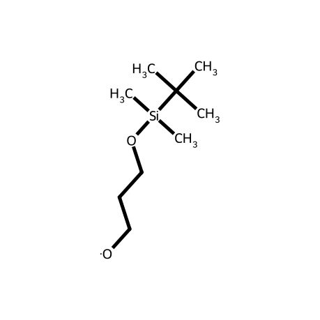 CC(C)(C)[Si](C)(C)OCCC[O]